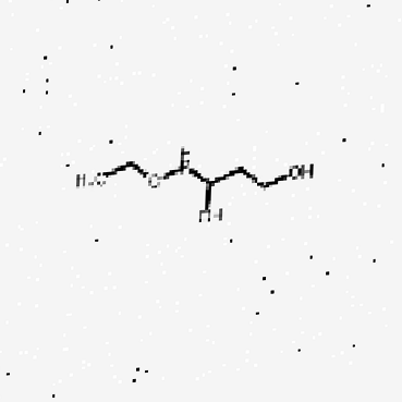 CCOPC(O)CCO